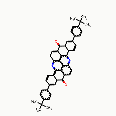 CC(C)(C)c1ccc(C2=CC3C(=O)c4ccc5nc6c7c8c(nc(c4c58)=C3C=C2)CC=C7C(=O)C2C=C(c3ccc(C(C)(C)C)cc3)C=CC62)cc1